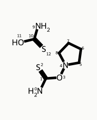 NC(=S)ON1CCCC1.NC(O)=S